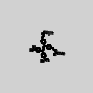 CCOC(=O)OCCc1ccc(C(=CC=C(c2ccc(N(CC)CC)cc2)c2ccc(N(CC)CC)cc2)c2ccc(CCOC(=O)OC)cc2)cc1